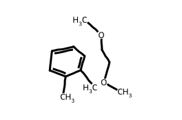 COCCOC.Cc1ccccc1C